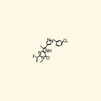 CCn1c(C(F)F)nc2c(C)c(-c3cnn(Cc4cccc(OC)c4)c3)[nH]c2c1=O